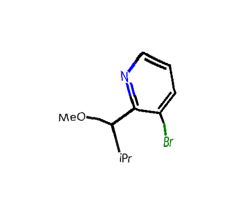 COC(c1ncccc1Br)C(C)C